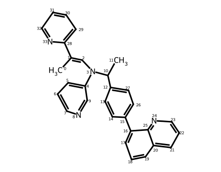 C/C(=C\N(c1cccnc1)C(C)c1ccc(-c2cccc3cccnc23)cc1)c1ccccn1